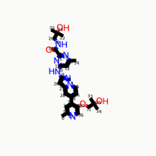 Cc1cc(-c2ccn3nc(Nc4cc(C)nc(C(=O)NCC(C)(C)O)n4)cc3c2)c(OCC(C)(C)O)cn1